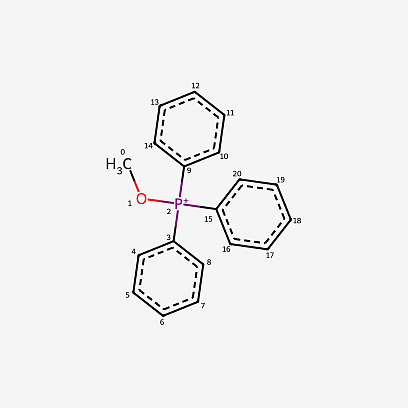 CO[P+](c1ccccc1)(c1ccccc1)c1ccccc1